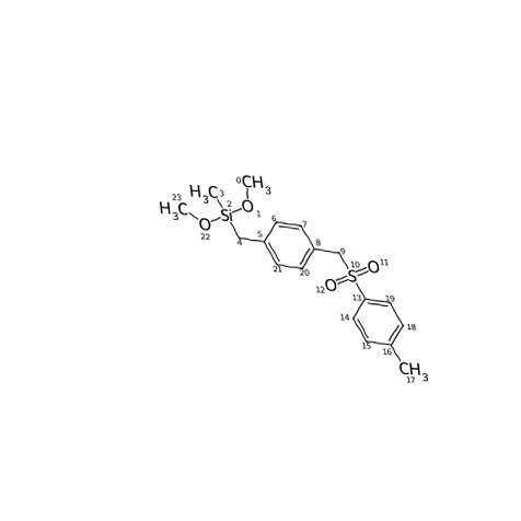 CO[Si](C)(Cc1ccc(CS(=O)(=O)c2ccc(C)cc2)cc1)OC